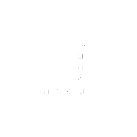 [Cl-].[Cl-].[Cl-].[Cl-].[Cl-].[Cl-].[Cl-].[Re+7]